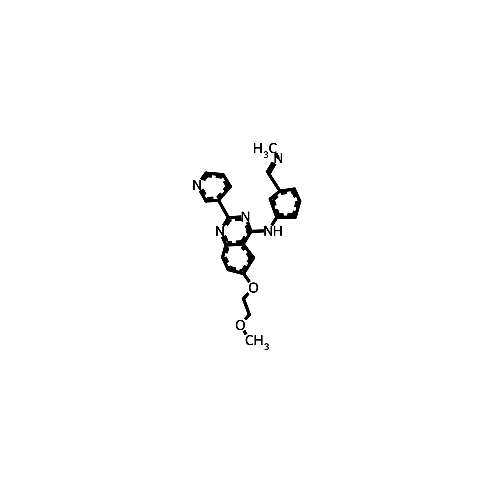 C/N=C/c1cccc(Nc2nc(-c3cccnc3)nc3ccc(OCCOC)cc23)c1